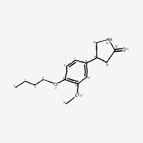 CCCCOc1ccc(C2CNC(=O)C2)cc1OC